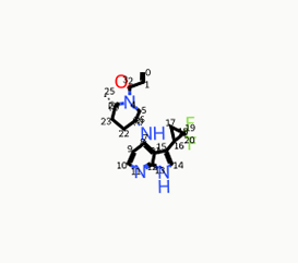 C=CC(=O)N1C[C@H](Nc2ccnc3[nH]cc(C4CC4(F)F)c23)CC[C@@H]1C